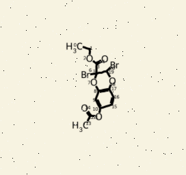 CCOC(=O)C1(Br)Oc2cc(OC(C)=O)ccc2OC1Br